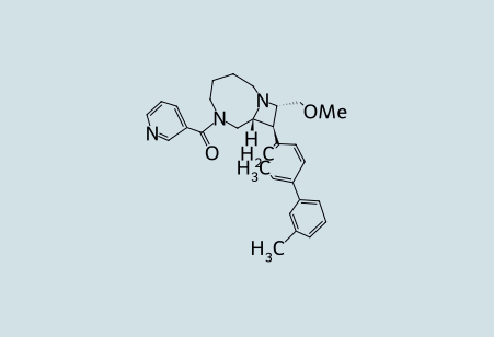 C=C(/C=C\C(=C/C)c1cccc(C)c1)[C@@H]1[C@@H](COC)N2CCCCN(C(=O)c3cccnc3)C[C@@H]12